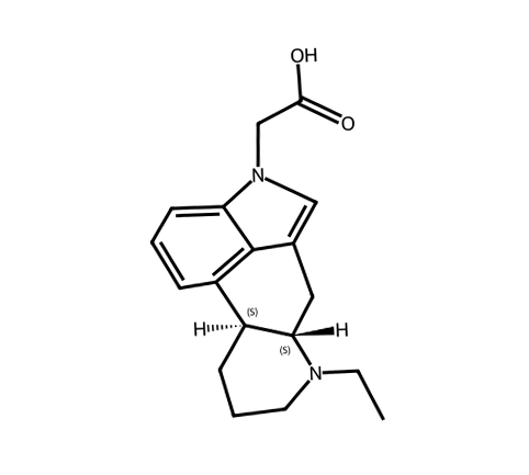 CCN1CCC[C@H]2c3cccc4c3c(cn4CC(=O)O)C[C@@H]21